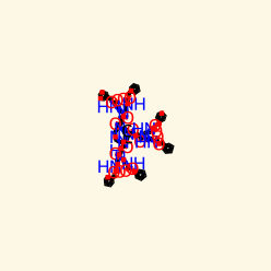 O=C(NCCN(CCNC(=O)OCc1ccccc1)C(=O)CCC(=O)N1CCNCCN(C(=O)CCC(=O)N(CCNC(=O)OCc2ccccc2)CCNC(=O)OCc2ccccc2)CCN(C(=O)CCC(=O)N(CCNC(=O)OCc2ccccc2)CCNC(=O)OCc2ccccc2)CC1)OCc1ccccc1